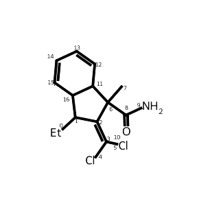 CCC1C(=C(Cl)Cl)C(C)(C(N)=O)C2C=CC=[C]C12